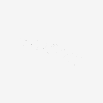 CP(C)(=O)c1ccc(-c2ccc(CC(C#N)NC(=O)C3CNCCCO3)c(F)c2)cc1